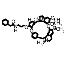 COc1cc2c3cc1Oc1c(OC)c(OC)cc4c1[C@@H](Cc1ccc(OCCCNC(=O)Cc5ccccc5)c(c1)Oc1ccc(cc1)C[C@@H]3N(C)CC2)N(C)CC4